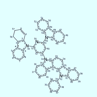 C1=Cc2c(c3ccccc3n2-c2cc(-n3c4ccccc4c4c3ccc3c5ccccc5n(-c5ccccc5)c34)cc(-n3c4ccccc4c4ccccc43)n2)CC1